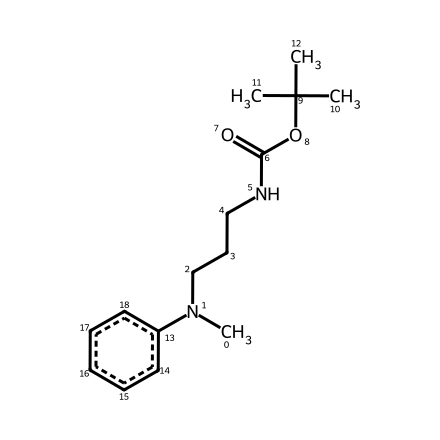 CN(CCCNC(=O)OC(C)(C)C)c1ccccc1